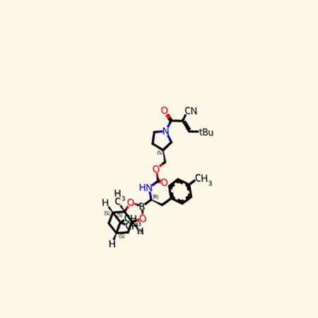 Cc1ccc(C[C@H](NC(=O)OC[C@H]2CCN(C(=O)C(C#N)=CC(C)(C)C)C2)B2O[C@@H]3C[C@@H]4C[C@@H](C4(C)C)[C@]3(C)O2)cc1